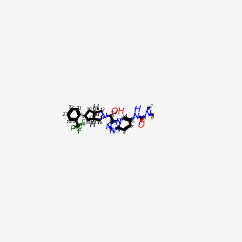 CN(C)C(=O)Nc1ccc2nnc(C(O)N3C[C@H]4C[C@@H](c5ccccc5C(F)(F)F)C[C@H]4C3)n2c1